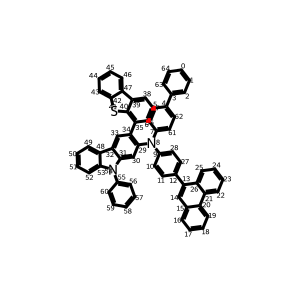 c1ccc(-c2ccc(N(c3ccc(-c4cc5ccccc5c5ccccc45)cc3)c3cc4c(cc3-c3cccc5c3sc3ccccc35)c3ccccc3n4-c3ccccc3)cc2)cc1